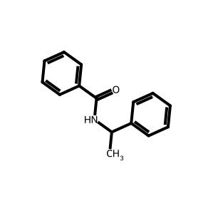 CC(NC(=O)c1ccccc1)c1ccccc1